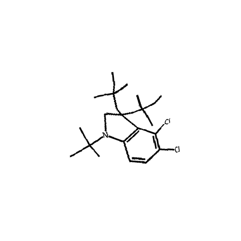 CC(C)(C)N1CC(C(C)(C)C)(C(C)(C)C)c2c1ccc(Cl)c2Cl